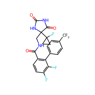 O=C1NC(=O)C(CNC(=O)c2ccc(F)c(F)c2-c2ccc(C(F)(F)F)cc2)(C2(F)CC2)N1